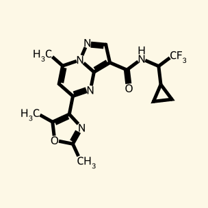 Cc1nc(-c2cc(C)n3ncc(C(=O)NC(C4CC4)C(F)(F)F)c3n2)c(C)o1